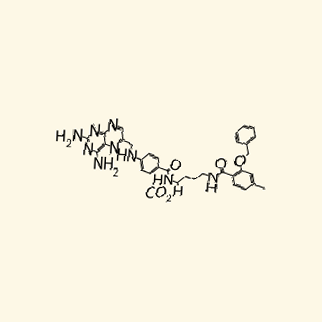 Cc1ccc(C(=O)NCCC[C@H](NC(=O)c2ccc(NCc3cnc4nc(N)nc(N)c4n3)cc2)C(=O)O)c(OCc2ccccc2)c1